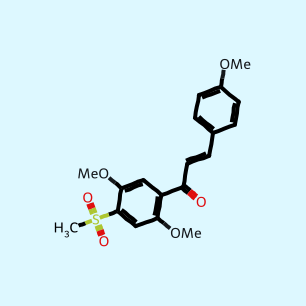 COc1ccc(C=CC(=O)c2cc(OC)c(S(C)(=O)=O)cc2OC)cc1